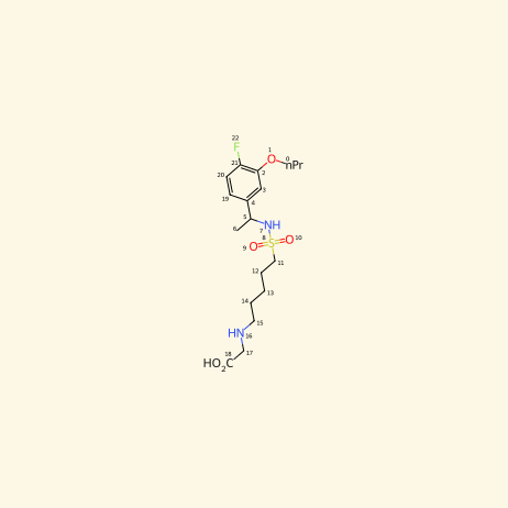 CCCOc1cc(C(C)NS(=O)(=O)CCCCCNCC(=O)O)ccc1F